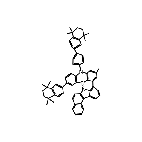 Cc1cc2c3c(c1)N(c1ccc(-c4ccc5c(c4)C(C)(C)CCC5(C)C)cc1)c1ccc(-c4ccc5c(c4)C(C)(C)CCC5(C)C)cc1B3n1c3ccc4ccccc4c3c3cccc-2c31